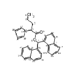 C=CC[C@@H](C(=O)OC(c1cccc2ccccc12)c1cccc2ccccc12)n1cccc1